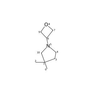 CC1(C)CCN(C2COC2)C1